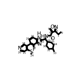 CCc1nocc1C(=O)NC(c1nc2c(F)c(-c3cnccc3SC)ccc2[nH]1)C1CCC(C)CC1